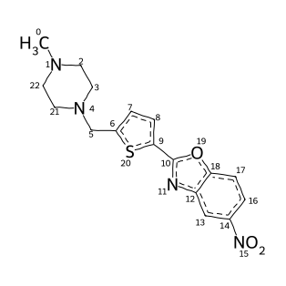 CN1CCN(Cc2ccc(-c3nc4cc([N+](=O)[O-])ccc4o3)s2)CC1